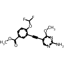 COC(=O)c1ccc(OC(F)F)c(C#Cc2cnc(N)nc2OC)c1